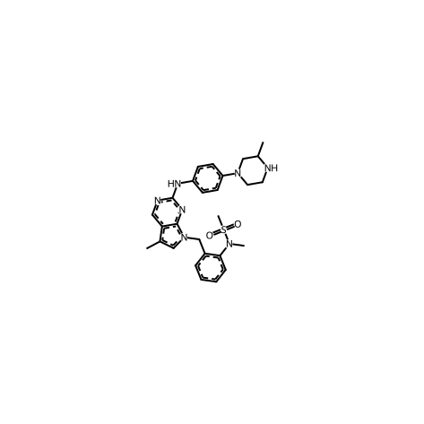 Cc1cn(Cc2ccccc2N(C)S(C)(=O)=O)c2nc(Nc3ccc(N4CCNC(C)C4)cc3)ncc12